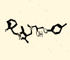 Cc1ccc(OCC(O)CN(C)Cc2c(C)nn(Cc3ccccc3F)c2C)cc1